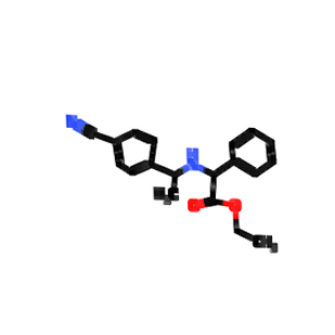 CCOC(=O)C(NC(C)c1ccc(C#N)cc1)c1ccccc1